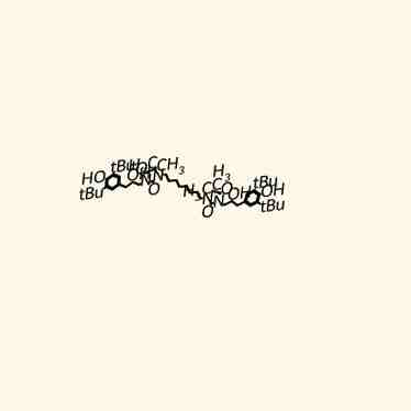 CC(C)(C)c1cc(CC(O)CN2C(=O)N(CCCCCCCCN3C(=O)N(CC(O)Cc4cc(C(C)(C)C)c(O)c(C(C)(C)C)c4)C(=O)C3(C)C)C(C)(C)C2=O)cc(C(C)(C)C)c1O